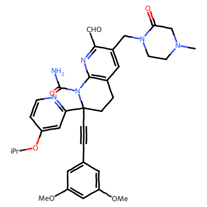 COc1cc(C#CC2(c3cc(OC(C)C)ccn3)CCc3cc(CN4CCN(C)CC4=O)c(C=O)nc3N2C(N)=O)cc(OC)c1